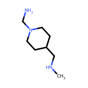 CNCC1CCN(CN)CC1